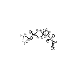 CCC1CC1S(=O)(=O)N1CCOC2(CCN(C(=O)OC(C(F)(F)F)C(F)(F)F)CC2)C1